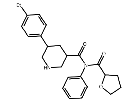 CCc1ccc(C2CNCC(C(=O)N(C(=O)C3CCCO3)c3ccccc3)C2)cc1